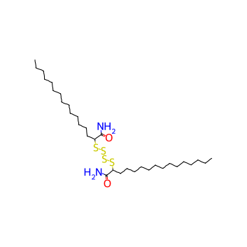 CCCCCCCCCCCCCCC(SSSSC(CCCCCCCCCCCCCC)C(N)=O)C(N)=O